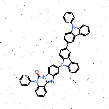 O=c1n(-c2ccccc2)c2ccccc2c2nc3cc(-n4c5ccccc5c5cc(-c6ccc7c(c6)c6ccccc6n7-c6ccccc6)ccc54)ccc3n12